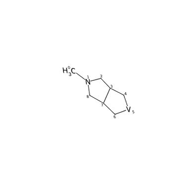 CN1CC2[CH2][V][CH2]C2C1